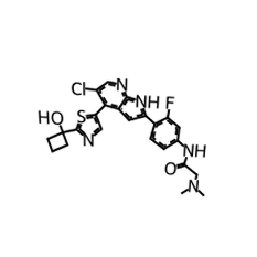 CN(C)CC(=O)Nc1ccc(-c2cc3c(-c4cnc(C5(O)CCC5)s4)c(Cl)cnc3[nH]2)c(F)c1